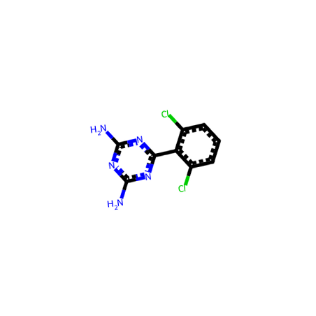 Nc1nc(N)nc(-c2c(Cl)cccc2Cl)n1